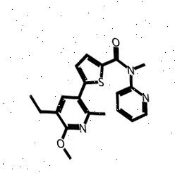 CCc1cc(-c2ccc(C(=O)N(C)c3ccccn3)s2)c(C)nc1OC